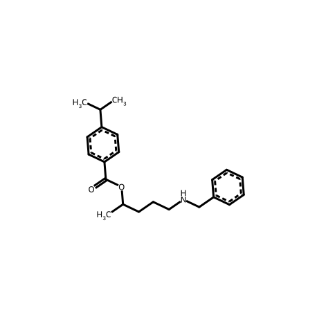 CC(CCCNCc1ccccc1)OC(=O)c1ccc(C(C)C)cc1